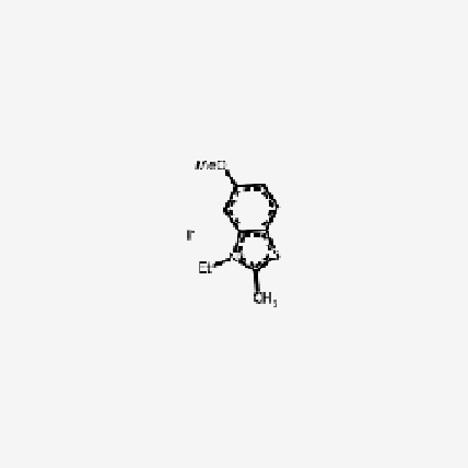 CC[n+]1c(C)sc2ccc(OC)cc21.[I-]